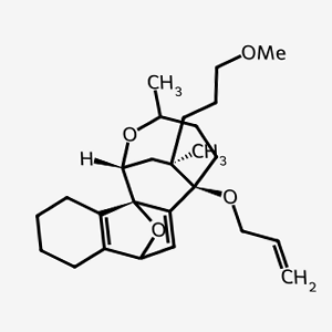 C=CCO[C@]12CCC(C)O[C@H](C[C@@]1(C)CCCOC)[C@@]13OC(C=C12)C1=C3CCCC1